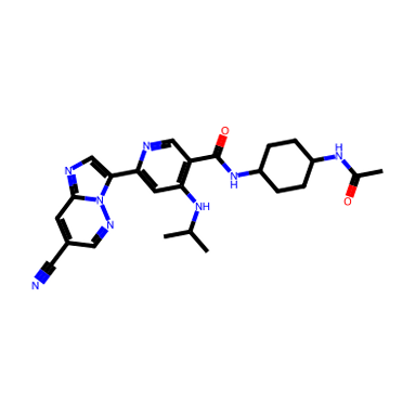 CC(=O)NC1CCC(NC(=O)c2cnc(-c3cnc4cc(C#N)cnn34)cc2NC(C)C)CC1